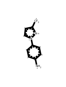 Nc1ccc(-n2ccc(C(F)(F)F)n2)cc1